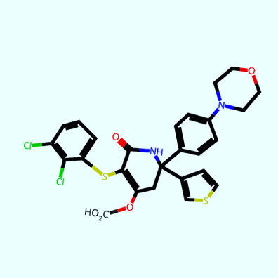 O=C(O)OC1=C(Sc2cccc(Cl)c2Cl)C(=O)NC(c2ccc(N3CCOCC3)cc2)(c2ccsc2)C1